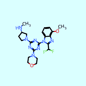 CN[C@@H]1CCN(c2nc(N3CCOCC3)nc(-n3c(C(F)F)nc4c(OC)cccc43)n2)C1